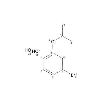 [B+2]c1cccc(OC(C)C)c1.[OH-].[OH-]